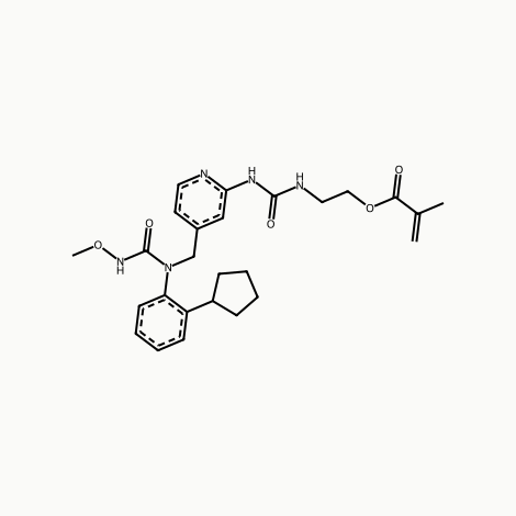 C=C(C)C(=O)OCCNC(=O)Nc1cc(CN(C(=O)NOC)c2ccccc2C2CCCC2)ccn1